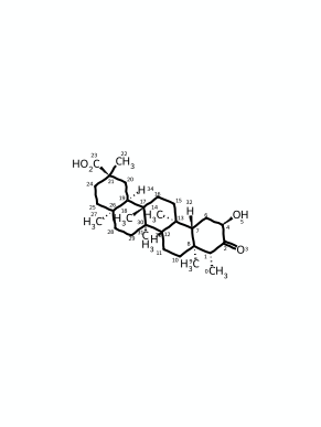 C[C@H]1C(=O)[C@H](O)C[C@@H]2[C@]1(C)CC[C@H]1[C@@]2(C)CC[C@@]2(C)[C@@H]3C[C@](C)(C(=O)O)CC[C@]3(C)CC[C@]12C